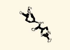 CCn1cc(NC(=O)c2cnc(Cl)s2)ccc1=O